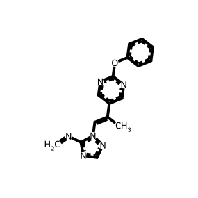 C=Nc1ncnn1/C=C(\C)c1cnc(Oc2ccccc2)nc1